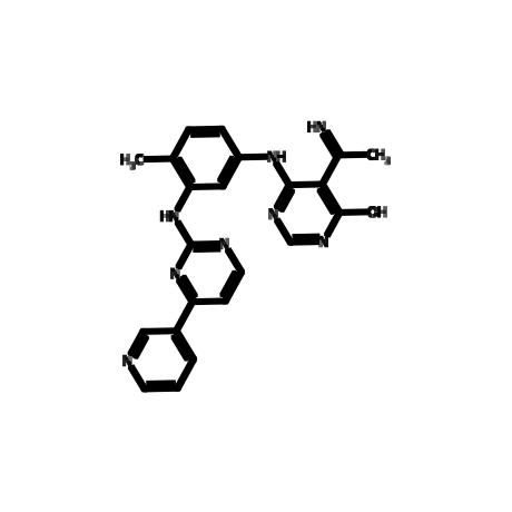 CC(=N)c1c(O)ncnc1Nc1ccc(C)c(Nc2nccc(-c3cccnc3)n2)c1